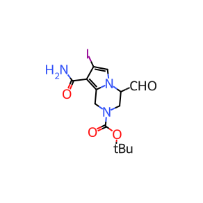 CC(C)(C)OC(=O)N1Cc2c(C(N)=O)c(I)cn2C(C=O)C1